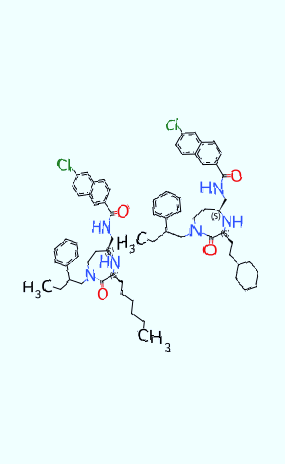 CCC(CN1CC[C@@H](CNC(=O)c2ccc3cc(Cl)ccc3c2)N[C@@H](CCC2CCCCC2)C1=O)c1ccccc1.CCCCCC[C@@H]1N[C@H](CNC(=O)c2ccc3cc(Cl)ccc3c2)CCN(CC(CC)c2ccccc2)C1=O